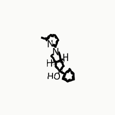 Cc1cccc(N2C[C@@H]3C[C@@](O)(c4ccccc4)C[C@@H]3C2)n1